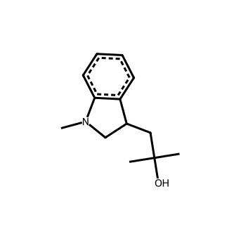 CN1CC(CC(C)(C)O)c2ccccc21